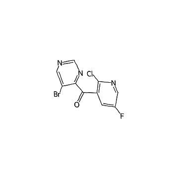 O=C(c1cc(F)cnc1Cl)c1ncncc1Br